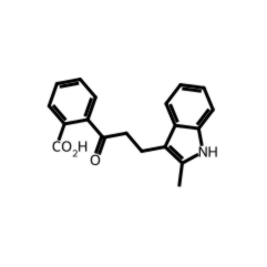 Cc1[nH]c2ccccc2c1CCC(=O)c1ccccc1C(=O)O